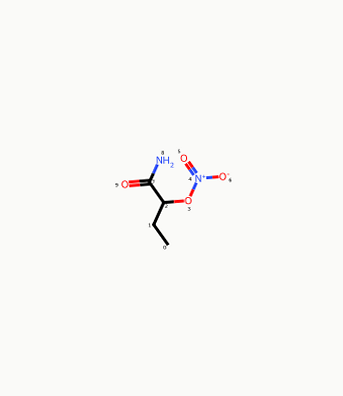 CCC(O[N+](=O)[O-])C(N)=O